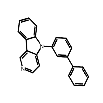 c1ccc(-c2cccc(-n3c4ccccc4c4cnccc43)c2)cc1